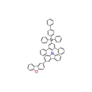 c1ccc(-c2ccc([Si](c3ccccc3)(c3ccccc3)c3cc(-c4ccccc4)c(-n4c5ccccc5c5cc(-c6ccc7oc8ccccc8c7c6)ccc54)c(-c4ccccc4)c3)cc2)cc1